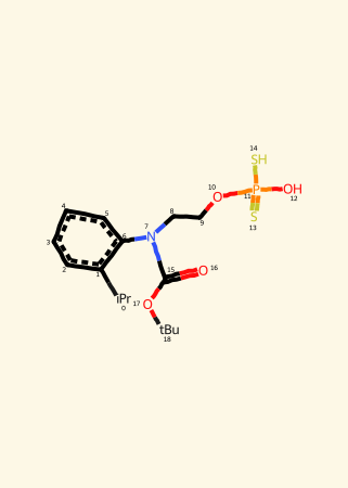 CC(C)c1ccccc1N(CCOP(O)(=S)S)C(=O)OC(C)(C)C